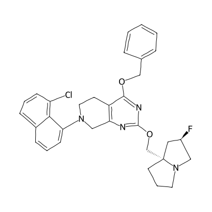 F[C@H]1CN2CCC[C@@]2(COc2nc3c(c(OCc4ccccc4)n2)CCN(c2cccc4cccc(Cl)c24)C3)C1